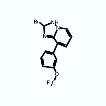 FC(F)(F)Oc1cccc(C2=CC=CN3NC(Br)N=C23)c1